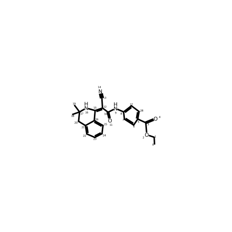 CCOC(=O)c1ccc(NC(=O)C(C#N)=C2NC(C)(C)Cc3ccccc32)cc1